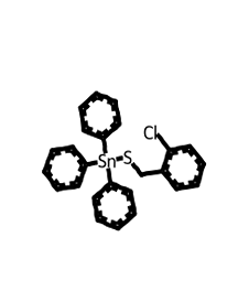 Clc1ccccc1C[S][Sn]([c]1ccccc1)([c]1ccccc1)[c]1ccccc1